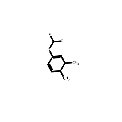 CC1C=CC(OC(F)F)=CC1C